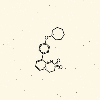 O=S1(=O)CCN2C=CC=C(c3ccc(OC4CCCCCC4)cc3)C2=N1